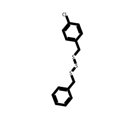 Clc1ccc(CSSSCc2ccccc2)cc1